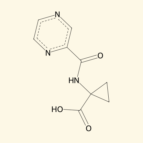 O=C(NC1(C(=O)O)CC1)c1cnccn1